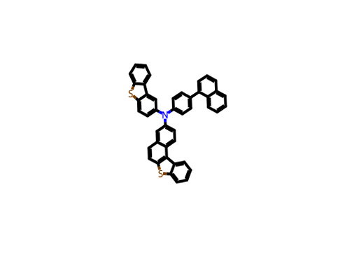 c1ccc2c(-c3ccc(N(c4ccc5c(ccc6sc7ccccc7c65)c4)c4ccc5sc6ccccc6c5c4)cc3)cccc2c1